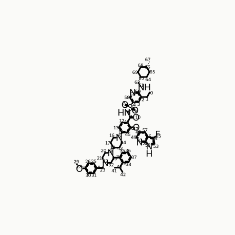 CCc1cc(S(=O)(=O)NC(=O)c2ccc(N3CCC(N4CCN(Cc5ccc(OC)cc5)CC4c4ccccc4C(C)C)CC3)cc2Oc2cnc3[nH]cc(F)c3c2)cnc1NC[C@H]1CC[C@@H](C)CC1